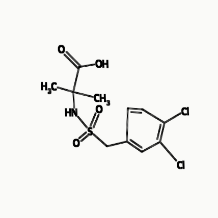 CC(C)(NS(=O)(=O)Cc1ccc(Cl)c(Cl)c1)C(=O)O